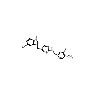 Cc1ccc(CNc2ncc(Cc3c[nH]c4ncc(Cl)cc34)cn2)cc1F